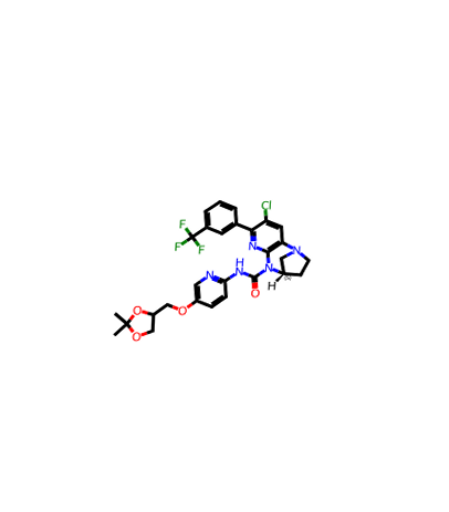 CC1(C)OCC(COc2ccc(NC(=O)N3c4nc(-c5cccc(C(F)(F)F)c5)c(Cl)cc4N4CC[C@H]3C4)nc2)O1